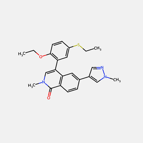 CCOc1ccc(SCC)cc1-c1cn(C)c(=O)c2ccc(-c3cnn(C)c3)cc12